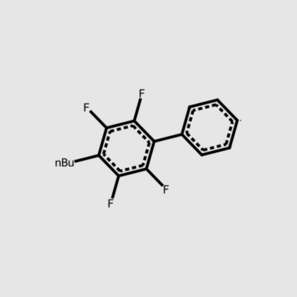 CCCCc1c(F)c(F)c(-c2cc[c]cc2)c(F)c1F